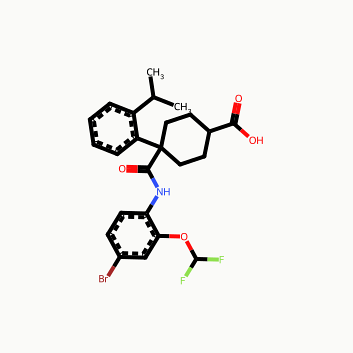 CC(C)c1ccccc1C1(C(=O)Nc2ccc(Br)cc2OC(F)F)CCC(C(=O)O)CC1